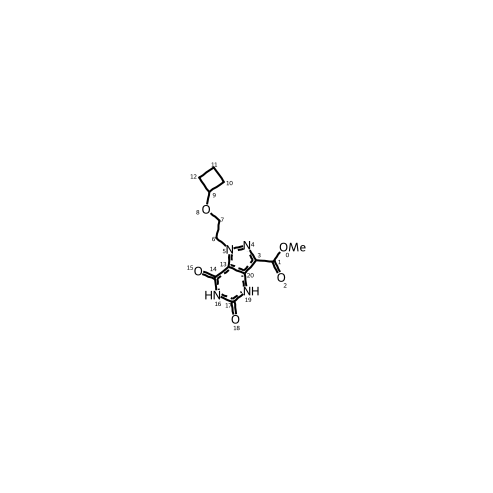 COC(=O)c1nn(CCOC2CCC2)c2c(=O)[nH]c(=O)[nH]c12